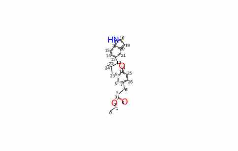 CCOC(=O)CCc1ccc(OC(c2ccc3[nH]ccc3c2)C(C)C)cc1